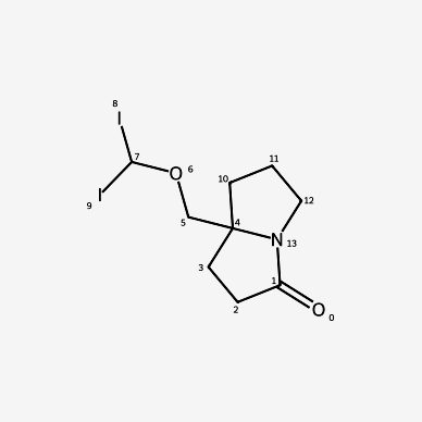 O=C1CCC2(COC(I)I)CCCN12